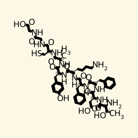 C[C@H](NC(=O)[C@H](Cc1ccc(O)cc1)NC(=O)[C@H](CCCCN)NC(=O)[C@H](Cc1ccccc1)NC(=O)[C@H](Cc1ccccc1)NC(=O)[C@H](CC(=O)O)NC(=O)[C@@H](N)[C@@H](C)O)C(=O)N[C@@H](CS)C(=O)NCC(=O)NCC(=O)O